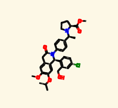 COC(=O)[C@@H]1CCCN1[C@@H](C)c1ccc(N2C(=O)Cc3cc(OC)c(OC(C)C)cc3[C@@H]2c2ccc(Cl)cc2CO)cc1